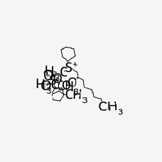 CC12CCC(C(S(=O)(=O)[O-])C1=O)C2(C)C.CCCCCCC(=O)C[S+](C)C1CCCCC1